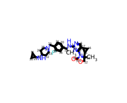 C[C@H](Nc1nccc(N2C(=O)OCC2(C)C2CC2)n1)c1ccc(CN2CCC(NC3CC3)CC2)c(F)c1